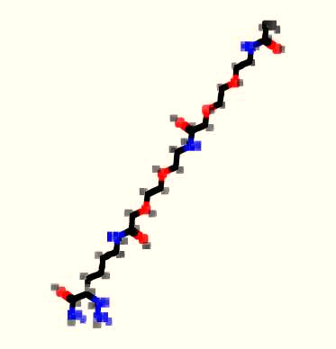 CC(=O)NCCOCCOCC(=O)NCCOCCOCC(=O)NCCCC[C@H](NN)C(N)=O